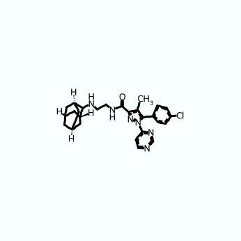 Cc1c(C(=O)NCCNC2[C@H]3C[C@@H]4C[C@@H](C[C@H]2C4)C3)nn(-c2ccncn2)c1-c1ccc(Cl)cc1